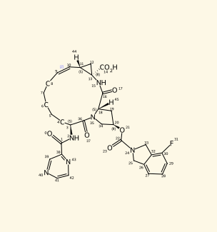 O=C(N[C@H]1CCCCC/C=C\[C@@H]2C[C@@]2(C(=O)O)NC(=O)[C@@H]2C[C@@H](OC(=O)N3Cc4cccc(F)c4C3)CN2C1=O)c1cnccn1